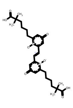 CC(C)(CCCCc1cc(=O)cc(/C=C/c2cc(=O)cc(CCCCC(C)(C)C(=O)O)[s+]2[O-])[s+]1[O-])C(=O)O